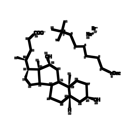 CCCCCCCCCCCCCCCC[N+](C)(C)C.C[C@H](CCC(=O)[O-])[C@H]1CCC2C3CC[C@@H]4C[C@H](O)CC[C@]4(C)C3C[C@H](O)[C@@]21C.[Br-].[Na+]